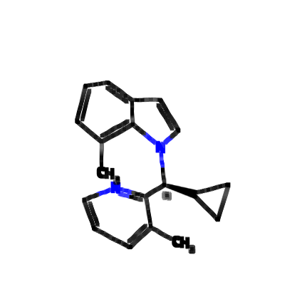 Cc1cccnc1[C@H](C1CC1)n1ccc2cccc(C)c21